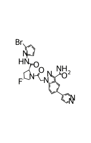 NC(=O)c1nn(CC(=O)N2C[C@H](F)C[C@H]2C(=O)Nc2cccc(Br)n2)c2ccc(-c3ccnnc3)cc12